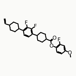 C=CC1CCC(c2ccc(C3CCC(C(=O)Oc4ccc(OC)cc4F)CC3)c(F)c2F)CC1